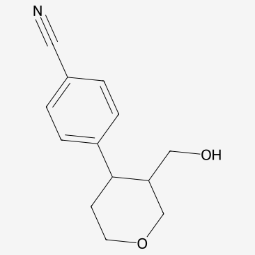 N#Cc1ccc(C2CCOCC2CO)cc1